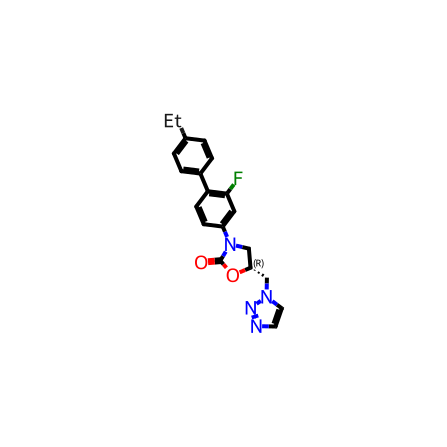 CCc1ccc(-c2ccc(N3C[C@H](Cn4ccnn4)OC3=O)cc2F)cc1